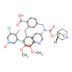 COc1ccc([C@H](Cc2c(Cl)c[n+]([O-])cc2Cl)c2cc(CN(C(=O)O[C@H]3CN4CCC3CC4)c3ccc(O)nc3)ccc2C(=O)O)cc1OC